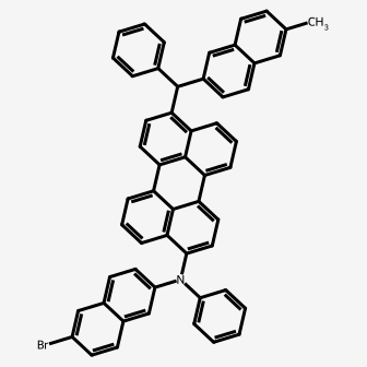 Cc1ccc2cc(C(c3ccccc3)c3ccc4c5cccc6c(N(c7ccccc7)c7ccc8cc(Br)ccc8c7)ccc(c7cccc3c47)c65)ccc2c1